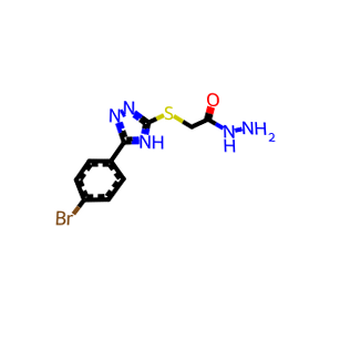 NNC(=O)CSc1nnc(-c2ccc(Br)cc2)[nH]1